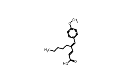 CCCCCC(/C=C/C(=O)O)=C\c1ccc(OC)cc1